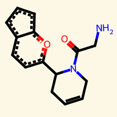 NCC(=O)N1CC=CCC1c1ccc2cccc-2o1